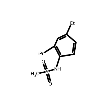 CCc1ccc(NS(C)(=O)=O)c(C(C)C)c1